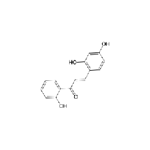 O=C(C=Cc1ccc(O)cc1O)c1ccccc1O